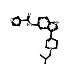 CC(C)CN1CC=C(c2c[nH]c3ccc(NC(=O)c4ccoc4)cc23)CC1